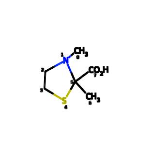 CN1CCSC1(C)C(=O)O